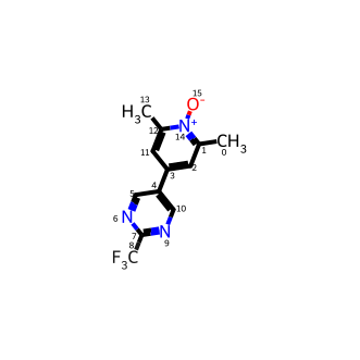 Cc1cc(-c2cnc(C(F)(F)F)nc2)cc(C)[n+]1[O-]